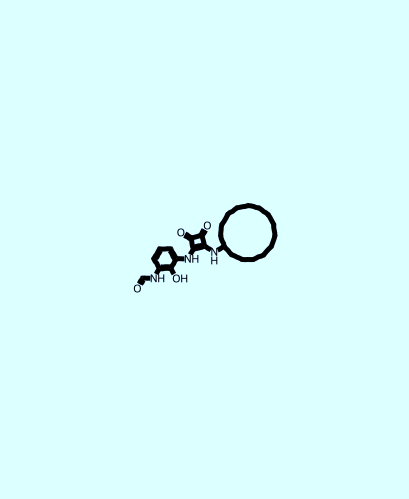 O=CNc1cccc(Nc2c(NC3CCCCCCCCCCCCCC3)c(=O)c2=O)c1O